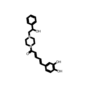 O=C(C=CC=Cc1ccc(O)c(O)c1)N1CCN(CC(O)c2ccccc2)CC1